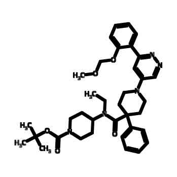 CCN(C(=O)C1(c2ccccc2)CCN(c2cnnc(-c3ccccc3OCOC)c2)CC1)C1CCN(C(=O)OC(C)(C)C)CC1